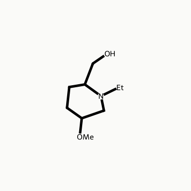 CCN1CC(OC)CCC1CO